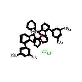 CC(C)(C)c1cc(-c2cccc3c2C=C(C2CCCC2)[CH]3[Hf+2]2([CH]3C(C4CCCC4)=Cc4c(-c5cc(C(C)(C)C)cc(C(C)(C)C)c5)cccc43)[CH]3CCCC[CH]32)cc(C(C)(C)C)c1.[Cl-].[Cl-]